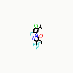 CCc1c(C(F)(F)F)cnn(-c2cc(C(C)C)c(Cl)cc2F)c1=O